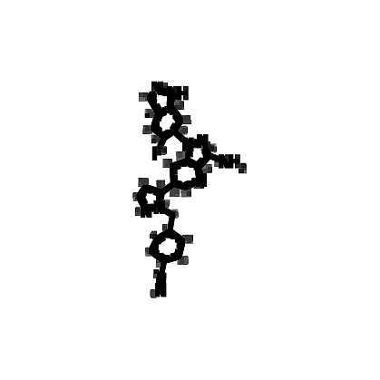 N#Cc1ccc(Cn2nccc2-c2cnc3c(N)nn(-c4cc5[nH]ncc5cc4F)c3c2)cc1